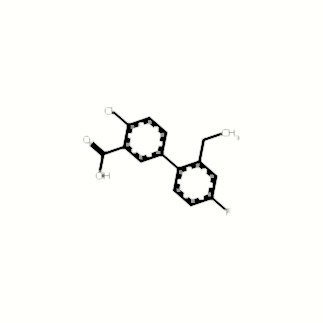 CCc1cc(F)ccc1-c1ccc(Cl)c(C(=O)O)c1